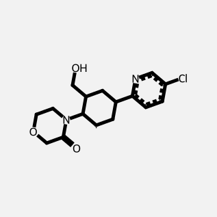 O=C1COCCN1C1[CH]CC(c2ccc(Cl)cn2)CC1CO